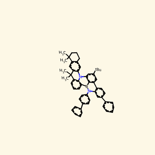 CC(C)(C)c1cc2c3c(c1)N1c4cc5c(cc4C(C)(C)c4cccc(c41)B3N(c1ccc(-c3ccccc3)cc1)c1cc(-c3ccccc3)ccc1-2)C(C)(C)CCC5